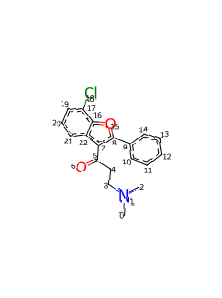 CN(C)CCC(=O)c1c(-c2ccccc2)oc2c(Cl)cccc12